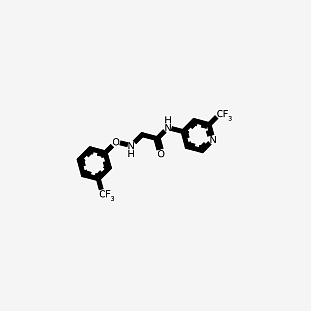 O=C(CNOc1cccc(C(F)(F)F)c1)Nc1ccnc(C(F)(F)F)c1